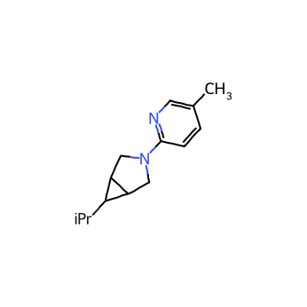 Cc1ccc(N2CC3C(C2)C3C(C)C)nc1